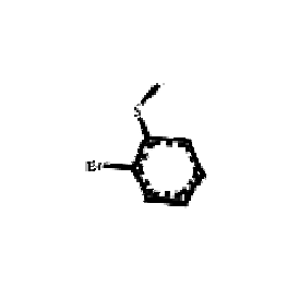 [CH2]Sc1ccccc1Br